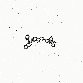 CC1(C)C2=C(CCC=C2)n2c3ccc(-c4ccc5c(c4)C(C)(C)c4cc(N(c6ccccc6)c6ccc7ccccc7c6)ccc4-5)cc3c3cccc1c32